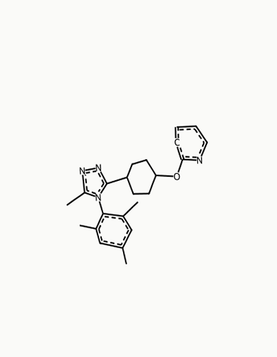 Cc1cc(C)c(-n2c(C)nnc2C2CCC(Oc3ccccn3)CC2)c(C)c1